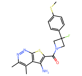 CSc1ccc(C2(F)CN(C(=O)c3sc4nnc(C)c(C)c4c3N)C2)cc1